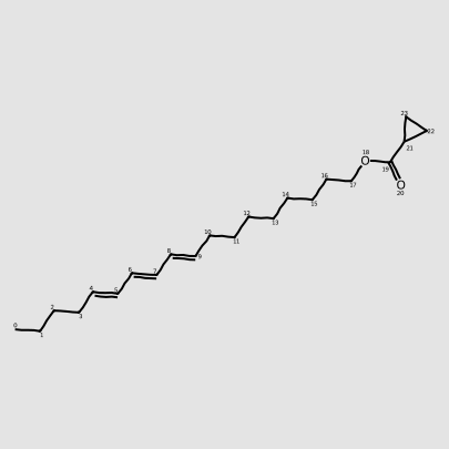 CCCCC=CC=CC=CCCCCCCCCOC(=O)C1CC1